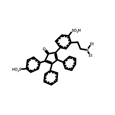 CCN(CC)CCc1cc(C2=C(c3ccccc3)C(c3ccccc3)=C(c3ccc(S(=O)(=O)O)cc3)C2=O)ccc1S(=O)(=O)O